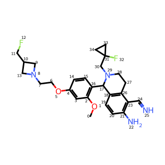 COc1cc(OCCN2CC(CF)C2)ccc1C1c2ccc(N)c(C=N)c2CCN1CC1(F)CC1